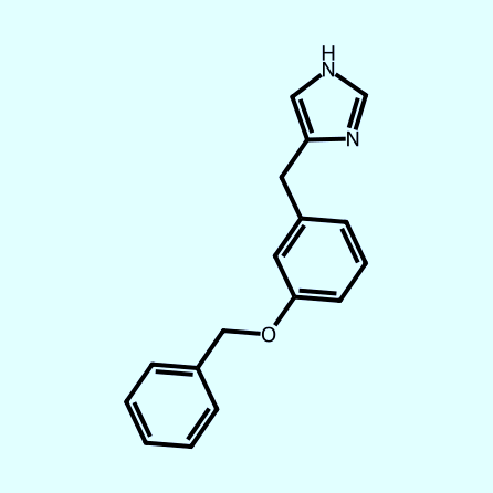 c1ccc(COc2cccc(Cc3c[nH]cn3)c2)cc1